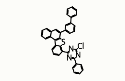 Clc1nc(-c2ccccc2)nc(-c2cccc3c2sc2c(-c4cccc(-c5ccccc5)c4)cc4ccccc4c23)n1